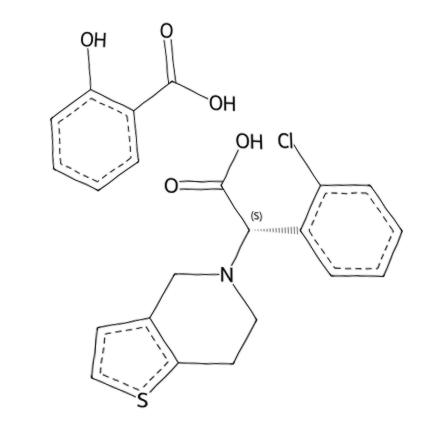 O=C(O)[C@H](c1ccccc1Cl)N1CCc2sccc2C1.O=C(O)c1ccccc1O